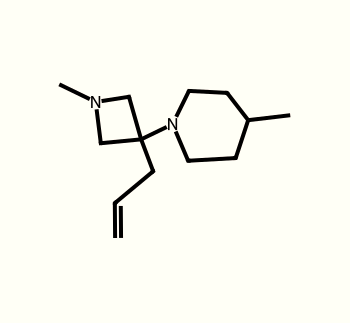 C=CCC1(N2CCC(C)CC2)CN(C)C1